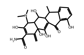 C=C1C(C(N)=O)=C(O)C(N(C)C)C2C(O)C3C(=C(O)C12O)C(=O)c1c(O)cccc1C3C